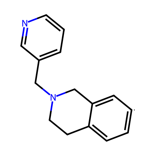 [c]1ccc2c(c1)CN(Cc1cccnc1)CC2